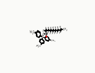 Cc1ccc(S(OS(=O)(=O)C(F)(F)C(F)(F)C(F)(F)C(F)(F)C(F)(F)C(F)(F)C(F)(F)C(F)(F)F)(c2ccc(C)cc2)c2ccc(C)cc2)cc1